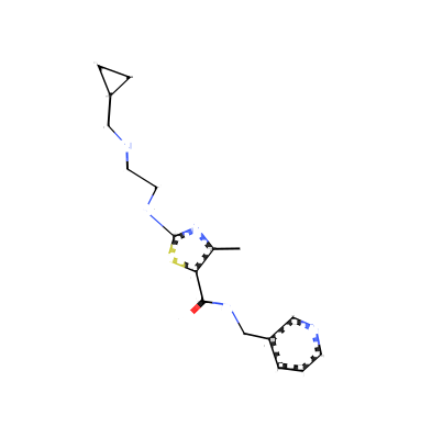 Cc1nc(NCCNCC2CC2)sc1C(=O)NCc1cccnc1